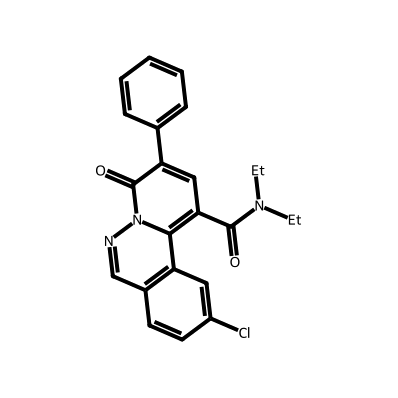 CCN(CC)C(=O)c1cc(-c2ccccc2)c(=O)n2ncc3ccc(Cl)cc3c12